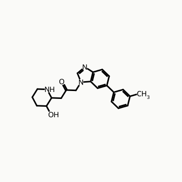 Cc1cccc(-c2ccc3ncn(CC(=O)CC4NCCCC4O)c3c2)c1